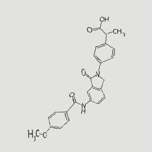 COc1ccc(C(=O)Nc2ccc3c(c2)C(=O)N(c2ccc(C(C)C(=O)O)cc2)C3)cc1